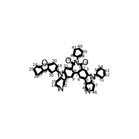 O=c1c2cc3c(cc2c2cc4c5cnccc5n(-c5ccc6oc7ccccc7c6c5)c4cc2c(=O)n1-c1ccccc1)c1cnccc1n3-c1ccccc1